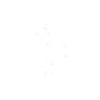 Cc1nc2cnc(-c3c[nH]c4ncc(N5CCN(C)CC5)cc34)cc2n1C(C)C